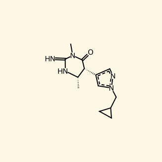 C[C@@H]1NC(=N)N(C)C(=O)[C@@H]1c1cnn(CC2CC2)c1